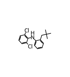 CC(C)(C)Cc1ccccc1Nc1c(Cl)cccc1Cl